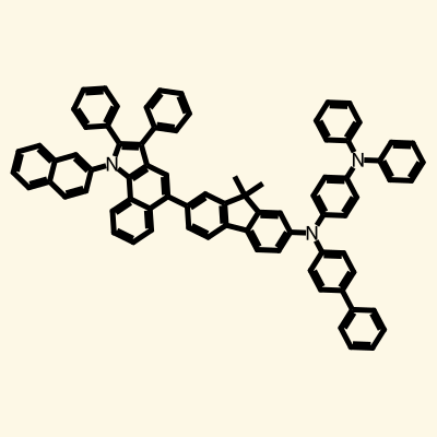 CC1(C)c2cc(-c3cc4c(-c5ccccc5)c(-c5ccccc5)n(-c5ccc6ccccc6c5)c4c4ccccc34)ccc2-c2ccc(N(c3ccc(-c4ccccc4)cc3)c3ccc(N(c4ccccc4)c4ccccc4)cc3)cc21